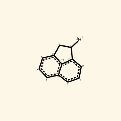 [2H]C1Cc2cccc3cccc1c23